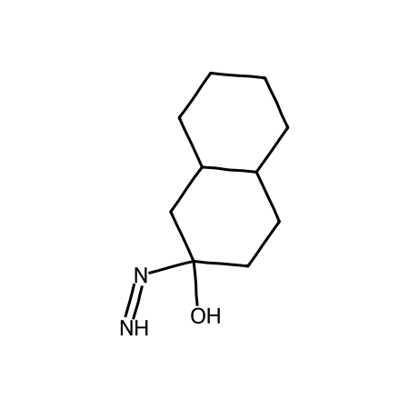 N=NC1(O)CCC2CCCCC2C1